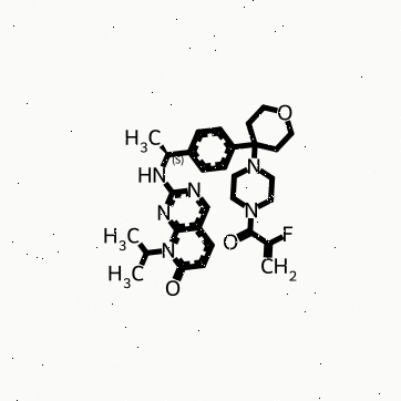 C=C(F)C(=O)N1CCN(C2(c3ccc([C@H](C)Nc4ncc5ccc(=O)n(C(C)C)c5n4)cc3)CCOCC2)CC1